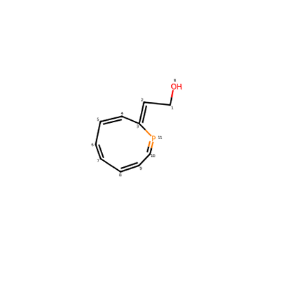 OCC=C1C=CC=CC=CC=P1